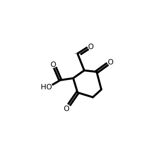 O=[C]C1C(=O)CCC(=O)C1C(=O)O